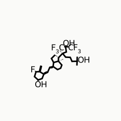 C=C1/C(=C\C=C2/CCC[C@@]3(C)C2CC[C@@H]3[C@](C)(CCCC(C)(C)O)CC(O)(C(F)(F)F)C(F)(F)F)CC(O)C[C@@H]1F